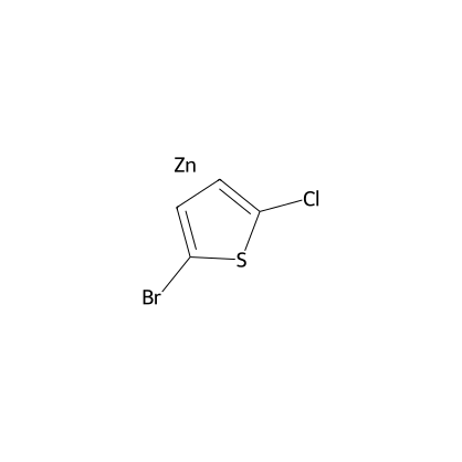 Clc1ccc(Br)s1.[Zn]